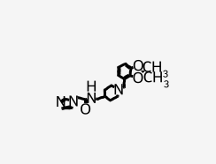 CC1(C)Oc2cccc(CN3CCC(CNC(=O)Cn4ccnc4)CC3)c2O1